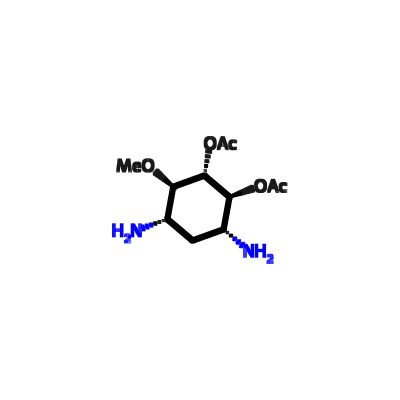 CO[C@H]1[C@H](OC(C)=O)[C@@H](OC(C)=O)[C@H](N)C[C@@H]1N